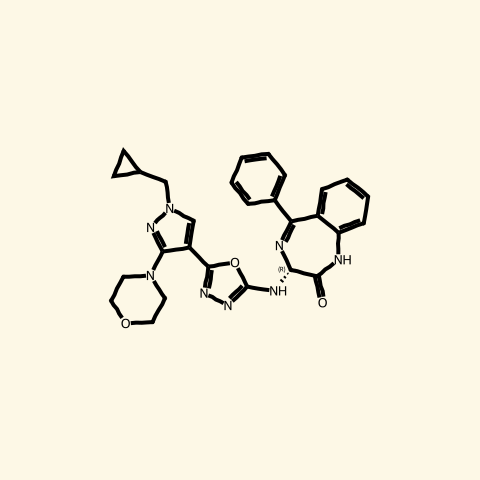 O=C1Nc2ccccc2C(c2ccccc2)=N[C@H]1Nc1nnc(-c2cn(CC3CC3)nc2N2CCOCC2)o1